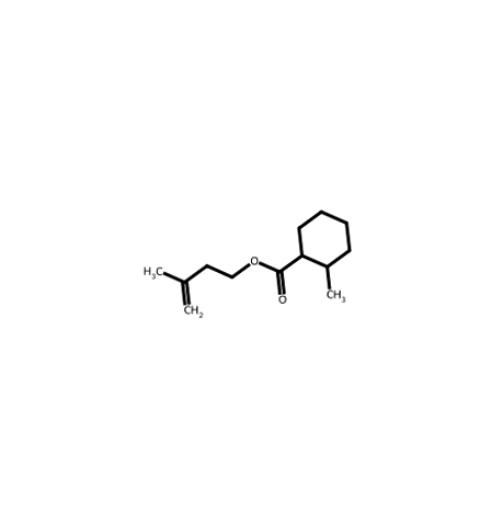 C=C(C)CCOC(=O)C1CCCCC1C